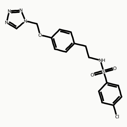 O=S(=O)(NCCc1ccc(OCn2cnnn2)cc1)c1ccc(Cl)cc1